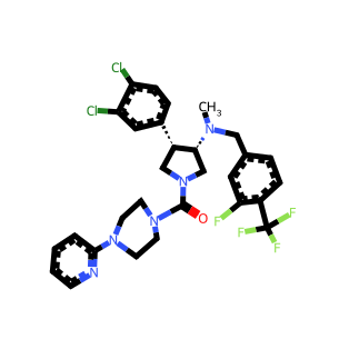 CN(Cc1ccc(C(F)(F)F)c(F)c1)[C@@H]1CN(C(=O)N2CCN(c3ccccn3)CC2)C[C@@H]1c1ccc(Cl)c(Cl)c1